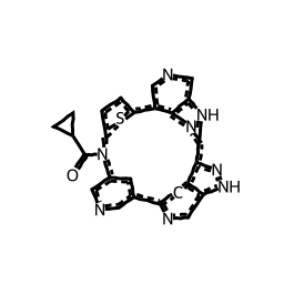 O=C(C1CC1)n1c2cncc(c2)c2cc3c(cn2)[nH]nc3c2nc3c(cncc3c3ccc1s3)[nH]2